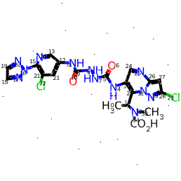 CC(c1c(NC(=O)NNC(=O)Nc2cnc(-n3nccn3)c(Cl)c2)cnc2cc(Cl)nn12)N(C)C(=O)O